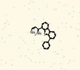 N=C(/C=C\N)c1cccc2c1sc1c(-c3ccccc3)cccc12